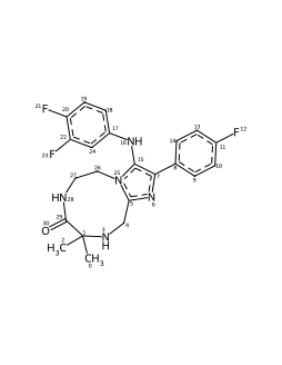 CC1(C)NCc2nc(-c3ccc(F)cc3)c(Nc3ccc(F)c(F)c3)n2CCNC1=O